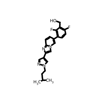 CC(C)CCn1cc(-c2cn3cc(-c4ccc(F)c(CO)c4F)ccc3n2)cn1